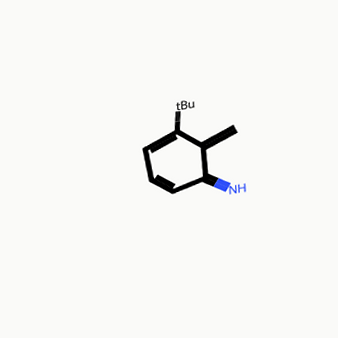 C=C1C(=N)C=CC=C1C(C)(C)C